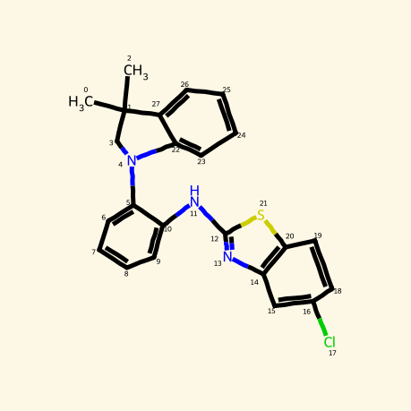 CC1(C)CN(c2ccccc2Nc2nc3cc(Cl)ccc3s2)c2ccccc21